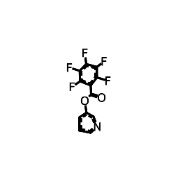 O=C(Oc1cccnc1)c1c(F)c(F)c(F)c(F)c1F